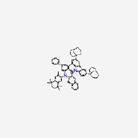 Cc1cc2c(cc1N1c3cc4ccccc4cc3B3c4c(cc(-c5ccccc5)cc41)-c1cc(C45CCCC(CCC4)C5)cc4c5cc(C67CCCC(CCC6)C7)ccc5n3c14)C(C)(C)CCC2(C)C